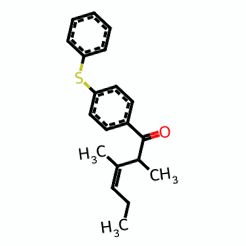 CC/C=C(/C)C(C)C(=O)c1ccc(Sc2ccccc2)cc1